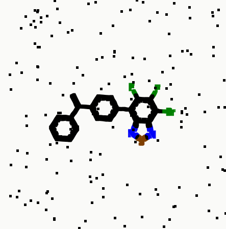 C=C(c1ccccc1)c1ccc(-c2c(F)c(F)c(Br)c3nsnc23)cc1